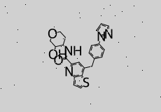 O=C(N[C@H]1CCOC[C@@H]1O)c1cc(Cc2ccc(-n3cccn3)cc2)c2sccc2n1